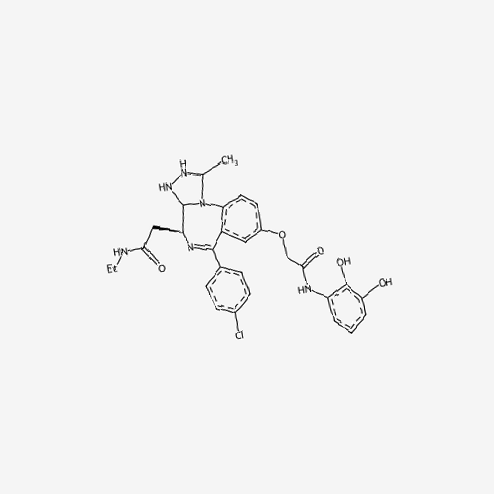 CCNC(=O)C[C@@H]1N=C(c2ccc(Cl)cc2)c2cc(OCC(=O)Nc3cccc(O)c3O)ccc2N2C(C)NNC12